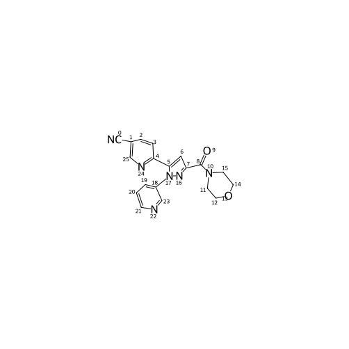 N#Cc1ccc(-c2cc(C(=O)N3CCOCC3)nn2-c2cccnc2)nc1